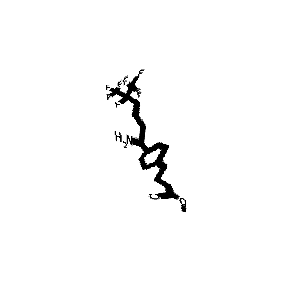 COC(=O)CCCc1ccc(C(N)CCCC(F)(C(F)(F)F)C(F)(F)F)cc1